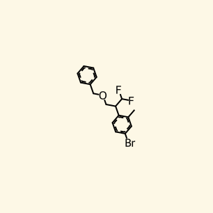 Cc1cc(Br)ccc1C(COCc1ccccc1)C(F)F